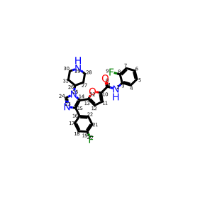 O=C(Nc1ccccc1F)c1ccc(-c2c(-c3ccc(F)cc3)ncn2C2CCNCC2)o1